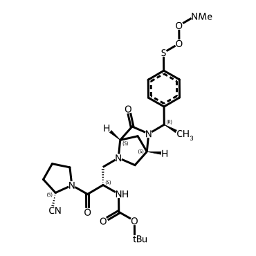 CNOOSc1ccc([C@@H](C)N2C(=O)[C@@H]3C[C@H]2CN3C[C@H](NC(=O)OC(C)(C)C)C(=O)N2CCC[C@H]2C#N)cc1